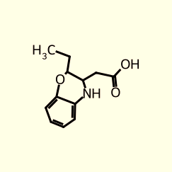 CCC1Oc2ccccc2NC1CC(=O)O